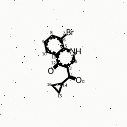 O=C(c1c[nH]c2c(Br)cccc2c1=O)C1CC1